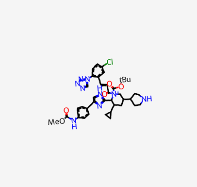 COC(=O)Nc1ccc(-c2c[nH]c(C3C(C4CC4)CC(C4CCNCC4)C[N+]3(C(=O)/C=C/c3cc(Cl)ccc3-n3cnnn3)C(=O)OC(C)(C)C)n2)cc1